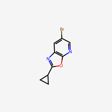 Brc1cnc2oc(C3CC3)nc2c1